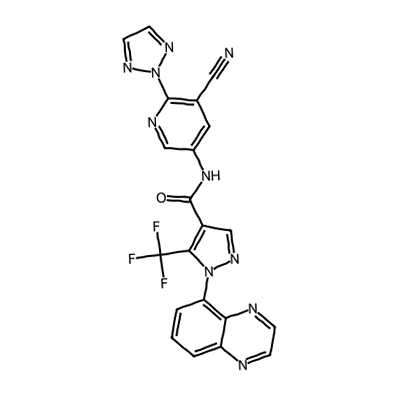 N#Cc1cc(NC(=O)c2cnn(-c3cccc4nccnc34)c2C(F)(F)F)cnc1-n1nccn1